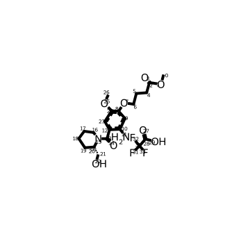 COC(=O)CCCOc1cc(N)c(C(=O)N2CCCC[C@H]2CO)cc1OC.O=C(O)C(F)(F)F